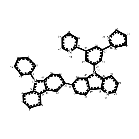 c1ccc(-n2c3ccccc3c3cc(-c4ccc5c6ncccc6n(-c6cc(-c7ccccn7)cc(-c7ccccn7)c6)c5c4)ccc32)cc1